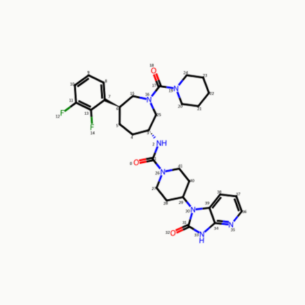 O=C(N[C@@H]1CC[C@@H](c2cccc(F)c2F)CN(C(=O)N2CCCCC2)C1)N1CCC(n2c(=O)[nH]c3ncccc32)CC1